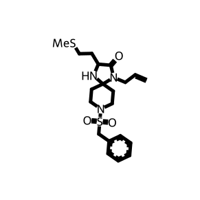 C=CCN1C(=O)C(CCSC)NC12CCN(S(=O)(=O)Cc1ccccc1)CC2